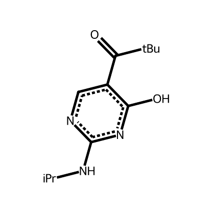 CC(C)Nc1ncc(C(=O)C(C)(C)C)c(O)n1